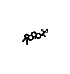 COC(=O)N(C)C1CCC2(C)C(=CCC3C2CCC24CN(C)C(C)C2CCC34)C1